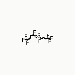 FC(CCC(F)(F)F)SSC(F)CCC(F)(F)F